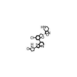 O=C1CCC(c2cc3nccc(-c4cc(Cl)cc5c4O[C@@H](c4onc6c4CNCC6)C5)c3s2)N1